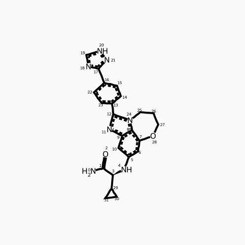 NC(=O)[C@@H](Nc1cc2c3c(c1)nc(-c1ccc(-c4nc[nH]n4)cc1)n3CCCO2)C1CC1